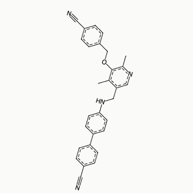 Cc1ncc(CNc2ccc(-c3ccc(C#N)cc3)cc2)c(C)c1OCc1ccc(C#N)cc1